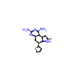 Cc1cc2c([nH]1)c(-c1cccs1)cc1nc(N)nc(N)c12